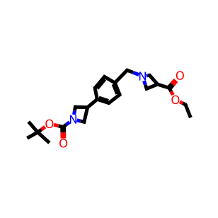 CCOC(=O)C1CN(Cc2ccc(C3CN(C(=O)OC(C)(C)C)C3)cc2)C1